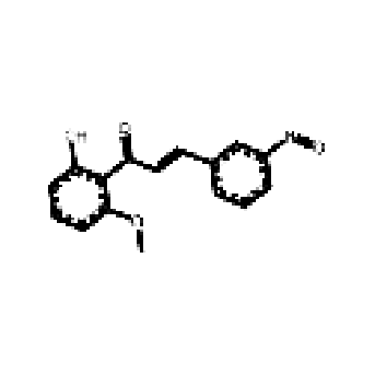 COc1cccc(O)c1C(=O)/C=C/c1cccc(N=O)c1